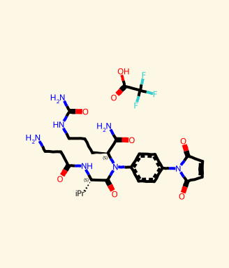 CC(C)[C@H](NC(=O)CCN)C(=O)N(c1ccc(N2C(=O)C=CC2=O)cc1)[C@@H](CCCNC(N)=O)C(N)=O.O=C(O)C(F)(F)F